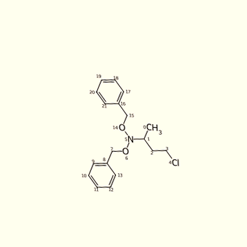 CC(CCCl)N(OCc1ccccc1)OCc1ccccc1